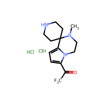 CN1CCn2c(C(=O)C(F)(F)F)ccc2C12CCNCC2.Cl.Cl